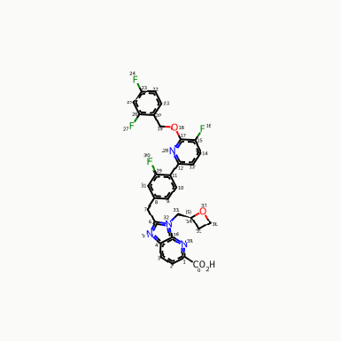 O=C(O)c1ccc2nc(Cc3ccc(-c4ccc(F)c(OCc5ccc(F)cc5F)n4)c(F)c3)n(C[C@@H]3CCO3)c2n1